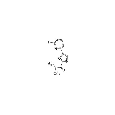 CC(C)C(=O)c1ncc(-c2cccc(F)n2)o1